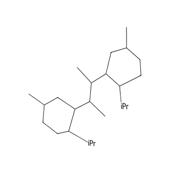 CC1CCC(C(C)C)C(C(C)C(C)C2CC(C)CCC2C(C)C)C1